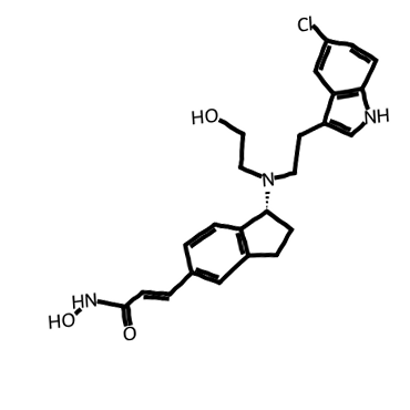 O=C(/C=C/c1ccc2c(c1)CC[C@H]2N(CCO)CCc1c[nH]c2ccc(Cl)cc12)NO